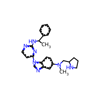 CC(Nc1nccc(-n2cnc3cc(N(C)CC4CCCN4)ccc32)n1)c1ccccc1